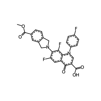 COC(=O)c1ccc2c(c1)CN(c1c(F)cc3c(=O)c(C(=O)O)cn(-c4ccc(F)cc4)c3c1F)C2